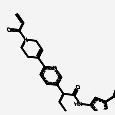 C=CC(=O)N1CC=C(c2ccc(C(CC)C(=O)Nc3cc(C4CC4)[nH]n3)cn2)CC1